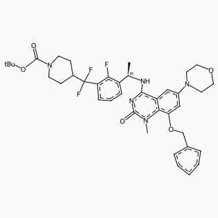 C[C@@H](Nc1nc(=O)n(C)c2c(OCc3ccccc3)cc(N3CCOCC3)cc12)c1cccc(C(F)(F)C2CCN(C(=O)OC(C)(C)C)CC2)c1F